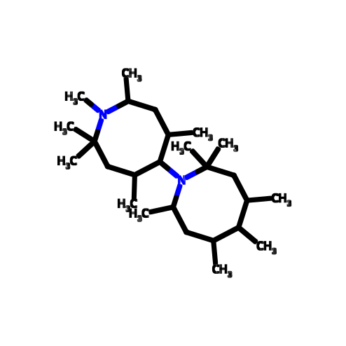 CC1CC(C)N(C2C(C)CC(C)N(C)C(C)(C)CC2C)C(C)(C)CC(C)C1C